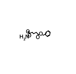 NOC(=O)CCCC(=O)OCc1ccccc1